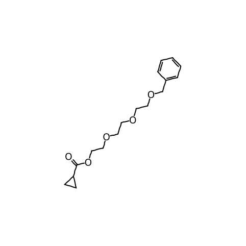 O=C(OCCOCCOCCOCc1ccccc1)C1CC1